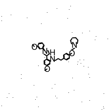 COc1cccc(N2CCC(c3ccc(OC)cc3NCCCc3ccc(OCCN4CCCCCC4)cc3)C2)c1